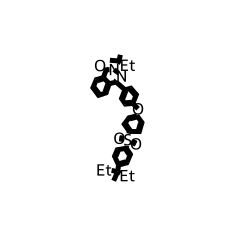 CCC(C)(CC)c1ccc(S(=O)(=O)c2ccc(Oc3ccc(-c4nn(C(C)(C)CC)c(=O)c5ccccc45)cc3)cc2)cc1